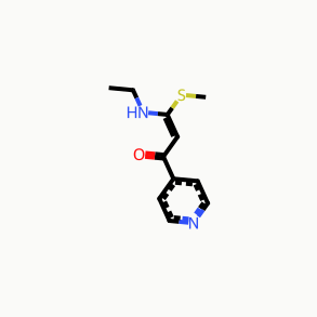 CCN/C(=C\C(=O)c1ccncc1)SC